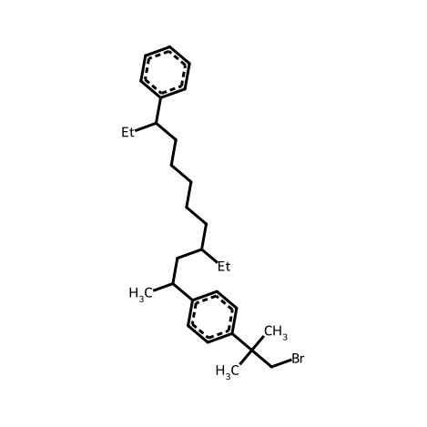 CCC(CCCCCC(CC)c1ccccc1)CC(C)c1ccc(C(C)(C)CBr)cc1